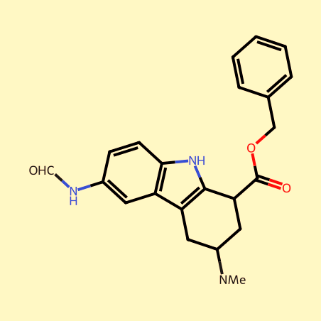 CNC1Cc2c([nH]c3ccc(NC=O)cc23)C(C(=O)OCc2ccccc2)C1